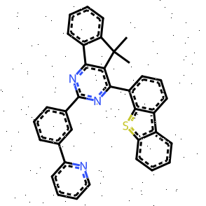 CC1(C)c2ccccc2-c2nc(-c3cccc(-c4ccccn4)c3)nc(-c3cccc4c3sc3ccccc34)c21